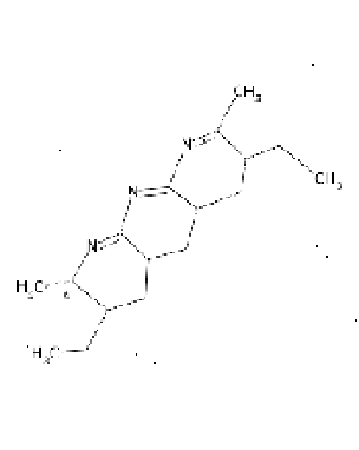 CCC1CC2CC3CC(CC)[C@H](C)N=C3N=C2N=C1C